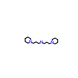 C1CCN(CCC[N]CCCN2CCCCC2)CC1